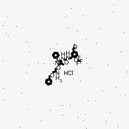 COCc1ccc(OC(F)(F)F)c(CNC(=O)Nc2c(C)c(OCC(N)COCc3ccccc3)nn2-c2ccccc2)c1.Cl